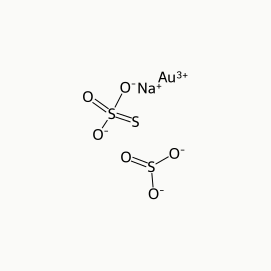 O=S([O-])([O-])=S.O=S([O-])[O-].[Au+3].[Na+]